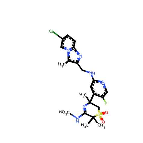 Cc1c(CNc2cc(C3(C)CS(=O)(=O)C(C)(C)C(NC(=O)O)=N3)c(F)cn2)nc2ccc(Cl)cn12